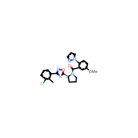 COc1ccc(-n2cccn2)c(C(=O)N2CCC[C@H]2c2nc(-c3cccc(Cl)c3C)no2)c1